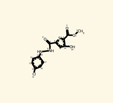 COC(=O)c1sc(C(=O)NNc2ccc(Cl)cc2)cc1O